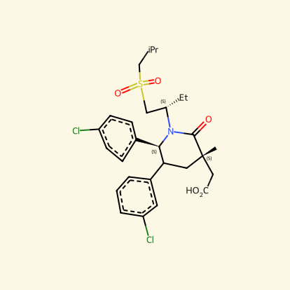 CC[C@@H](CS(=O)(=O)CC(C)C)N1C(=O)[C@](C)(CC(=O)O)CC(c2cccc(Cl)c2)[C@H]1c1ccc(Cl)cc1